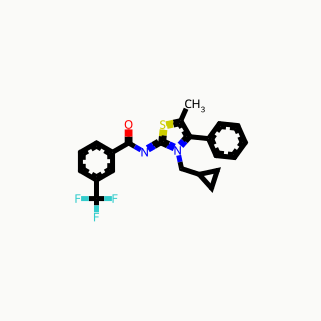 Cc1s/c(=N\C(=O)c2cccc(C(F)(F)F)c2)n(CC2CC2)c1-c1ccccc1